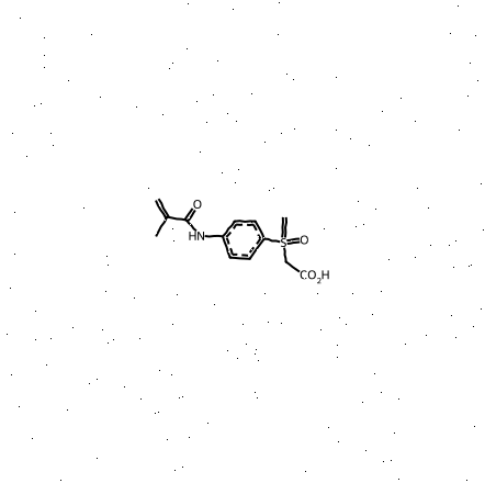 C=C(C)C(=O)Nc1ccc(S(=C)(=O)CC(=O)O)cc1